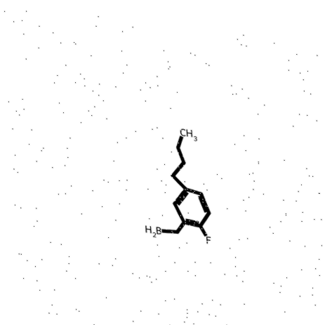 BCc1cc(CCCC)ccc1F